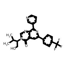 CC(C)C(CO)n1cnc2c(-c3cccnc3)nc(-c3ccc(C(F)(F)F)cc3)cc2c1=O